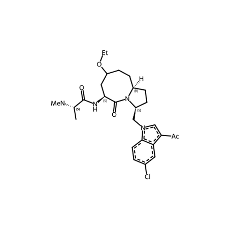 CCOC1CC[C@H]2CC[C@@H](Cn3cc(C(C)=O)c4cc(Cl)ccc43)N2C(=O)[C@@H](NC(=O)[C@H](C)NC)C1